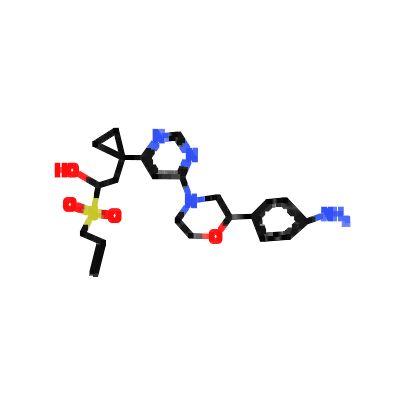 C=CCS(=O)(=O)C(O)CC1(c2cc(N3CCOC(c4ccc(N)cc4)C3)ncn2)CC1